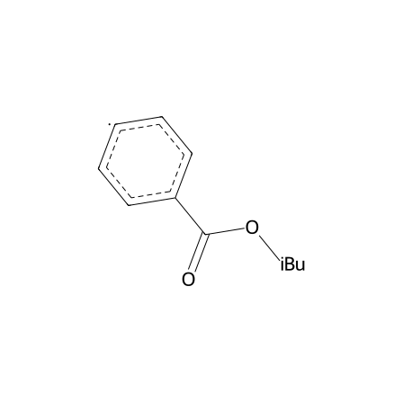 CCC(C)OC(=O)c1cc[c]cc1